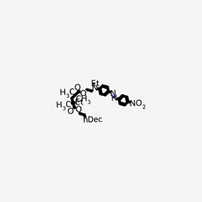 CCCCCCCCCCCCOC(=O)C(C)(CC)CC(C)(C)C(=O)OCCN(CC)c1ccc(/N=N/c2ccc([N+](=O)[O-])cc2)cc1